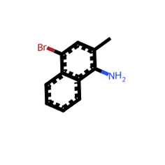 Cc1cc(Br)c2ccccc2c1N